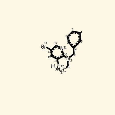 [CH2]CN(Cc1ccccc1)c1ncc(Br)cc1C